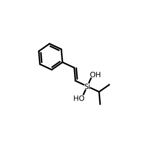 CC(C)[Si](O)(O)C=Cc1ccccc1